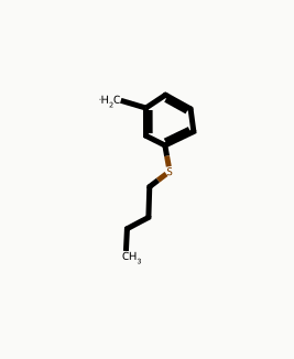 [CH2]c1cccc(SCCCC)c1